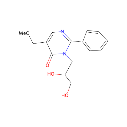 COCc1cnc(-c2ccccc2)n(CC(O)CO)c1=O